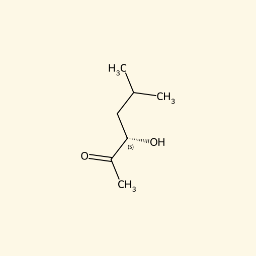 CC(=O)[C@@H](O)CC(C)C